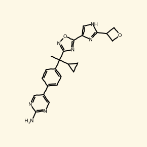 CC(c1ccc(-c2cnc(N)nc2)cc1)(c1noc(-c2c[nH]c(C3COC3)n2)n1)C1CC1